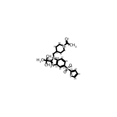 CC(=O)N1CCC(Cn2c(C(C)(C)C)nc3cc(S(=O)(=O)c4cccs4)ccc32)CC1